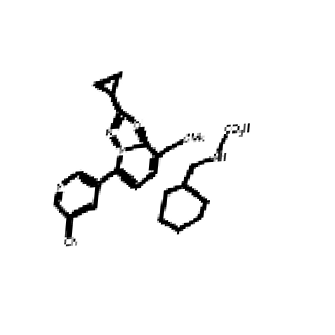 COc1ccc(-c2cncc(C#N)c2)n2nc(C3CC3)nc12.O=C(O)NCC1CCCCC1